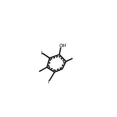 Cc1cc(I)c(C)c(I)c1O